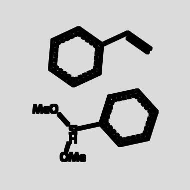 C=Cc1ccccc1.CO[SiH](OC)c1ccccc1